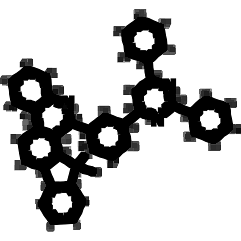 CC1(C)c2ccccc2-c2ccc3c(c(-c4cccc(-c5cc(-c6ccccc6)nc(-c6ccccc6)n5)c4)nc4ccccc43)c21